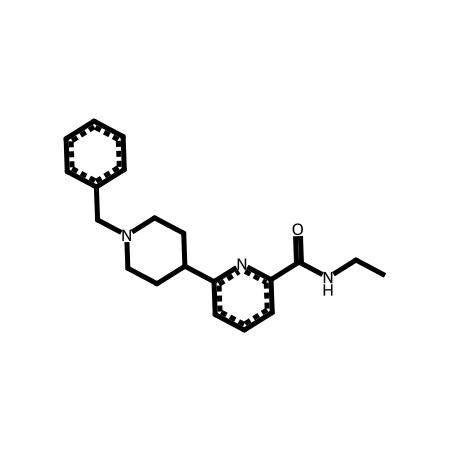 CCNC(=O)c1cccc(C2CCN(Cc3ccccc3)CC2)n1